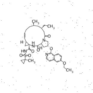 CCOc1ccc2c(O[C@@H]3C[C@H]4C(=O)N[C@]5(C(=O)NS(=O)(=O)C6(C)CC6)C[C@H]5/C=C\CC[C@@H](C)C[C@@H](CC)CC(=O)N4C3)nccc2c1